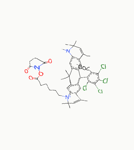 CC1=CC(C)(C)N(C)c2cc3c(cc21)C(c1c(Cl)c(Cl)c(Cl)c(Cl)c1C(=O)[O-])=c1cc2c(cc1C3(C)C)=[N+](CCCCCC(=O)ON1C(=O)CCC1=O)C(C)(C)C=C2C